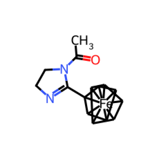 CC(=O)N1CCN=C1[C]12[CH]3[CH]4[CH]5[CH]1[Fe]45321678[CH]2[CH]1[CH]6[CH]7[CH]28